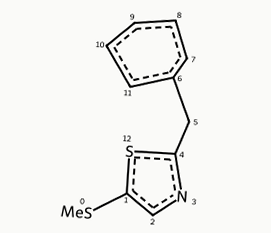 CSc1cnc(Cc2ccccc2)s1